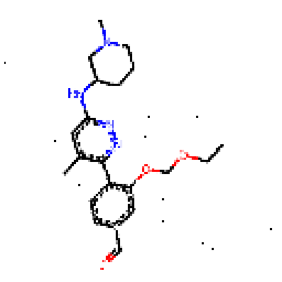 CCOCOc1cc(C=O)ccc1-c1nnc(NC2CCCN(C)C2)cc1C